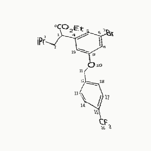 CCOC(=O)C(CC(C)C)c1cc(Br)cc(OCc2ccc(C(F)(F)F)cc2)c1